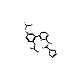 O=C(Nc1nccc(-c2cc(OC(F)F)ccc2OC(F)F)n1)c1cccs1